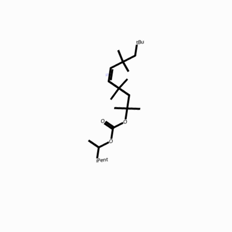 CCCC(C)C(C)OC(=O)OC(C)(C)CC(C)(C)/C=C\C(C)(C)CC(C)(C)C